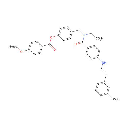 CCCCCCCOc1ccc(C(=O)Oc2ccc(CN(CC(=O)O)C(=O)c3ccc(NCCc4cccc(OC)c4)cc3)cc2)cc1